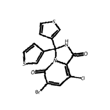 O=C1NC(c2ccsc2)(c2ccsc2)n2c1c(Cl)cc(Br)c2=O